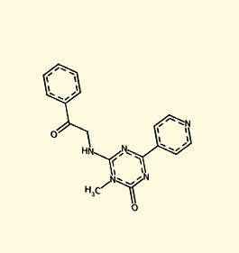 Cn1c(NCC(=O)c2ccccc2)nc(-c2ccncc2)nc1=O